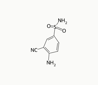 N#Cc1cc(S(N)(=O)=O)ccc1N